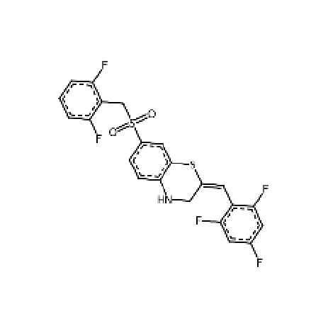 O=S(=O)(Cc1c(F)cccc1F)c1ccc2c(c1)SC(=Cc1c(F)cc(F)cc1F)CN2